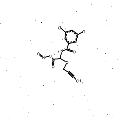 CC#CCOC(NC(=O)c1cc(Cl)cc(Cl)c1)C(=O)ON=O